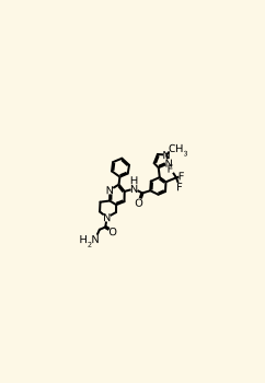 Cn1ccc(-c2cc(C(=O)Nc3cc4c(nc3-c3ccccc3)CCN(C(=O)CN)C4)ccc2C(F)(F)F)n1